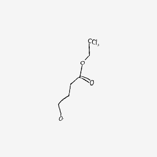 [O]CCCC(=O)OCC(Cl)(Cl)Cl